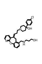 OCCCNCc1cccc2c1CC(=CCCN1CCC(O)(c3ccc(Cl)cc3)CC1)c1cccnc1O2